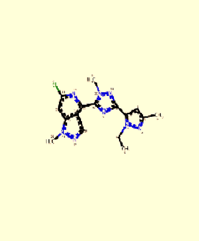 CCn1nc(C)cc1-c1nc(-c2nc(Cl)cc3c2cnn3C)n(C)n1